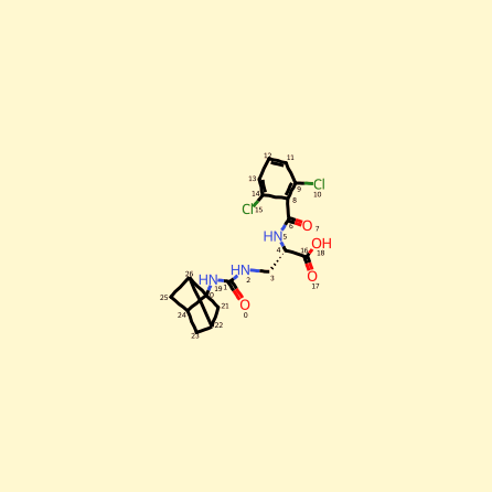 O=C(NC[C@H](NC(=O)c1c(Cl)cccc1Cl)C(=O)O)NC12CC3CC1CC32